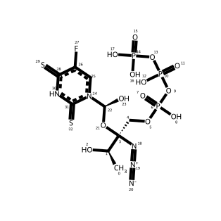 C[C@@H](O)[C@](COP(=O)(O)OP(=O)(O)OP(=O)(O)O)(N=[N+]=[N-])O[C@H](O)n1cc(F)c(=S)[nH]c1=S